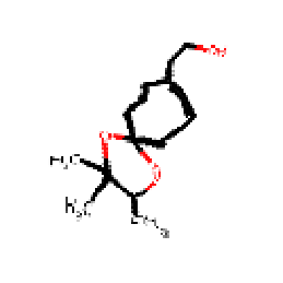 CC1OC2(CC=C(CO)CC2)OC1(C)C